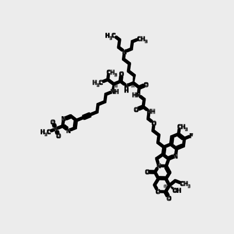 CCCN(CCC)CCCC[C@H](NC(=O)[C@@H](NCCCCC#Cc1cnc(S(C)(=O)=O)nc1)C(C)C)C(=O)NCC(=O)NCOCCCc1c2c(nc3cc(F)c(C)cc13)-c1cc3c(c(=O)n1C2)COC(=O)[C@]3(O)CC